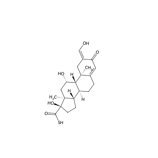 C[C@]12C/C(=C/O)C(=O)C=C1CC[C@@H]1[C@@H]2[C@@H](O)C[C@@]2(C)[C@H]1CC[C@]2(O)C(=O)S